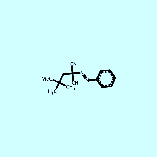 COC(C)(C)CC(C)(C#N)N=Nc1ccccc1